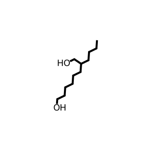 CCCCC(CO)CCCCCCO